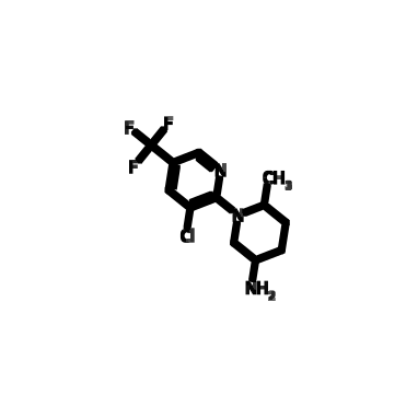 CC1CCC(N)CN1c1ncc(C(F)(F)F)cc1Cl